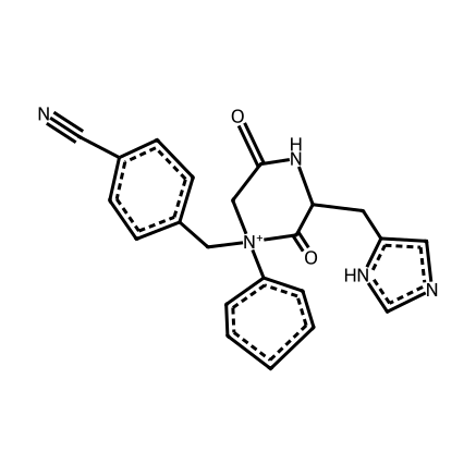 N#Cc1ccc(C[N+]2(c3ccccc3)CC(=O)NC(Cc3cnc[nH]3)C2=O)cc1